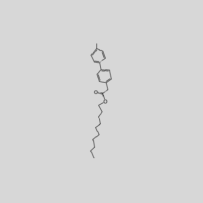 CCCCCCCCCCOC(=O)Cc1ccc(-c2ccc(C)cc2)cc1